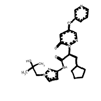 CC(C)(O)Cn1ccc(NC(=O)C(CC2CCCC2)n2ncc(Oc3cccnc3)cc2=O)n1